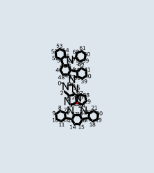 CN1C=c2nc(-n3c4ccccc4c4ccc5c6ccccc6n(-c6ccccc6)c5c43)cnc2=NC1n1c2ccccc2c2c3c(ccc21)c1ccccc1n3-c1ccccc1